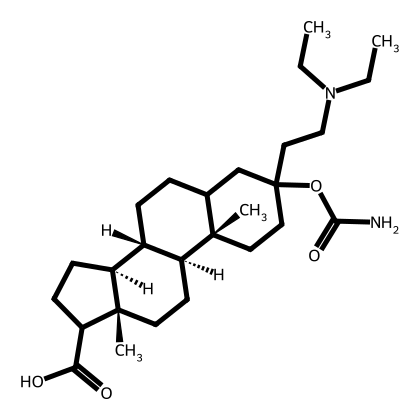 CCN(CC)CCC1(OC(N)=O)CC[C@@]2(C)C(CC[C@@H]3[C@@H]2CC[C@]2(C)C(C(=O)O)CC[C@@H]32)C1